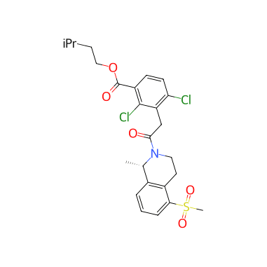 CC(C)CCOC(=O)c1ccc(Cl)c(CC(=O)N2CCc3c(cccc3S(C)(=O)=O)[C@@H]2C)c1Cl